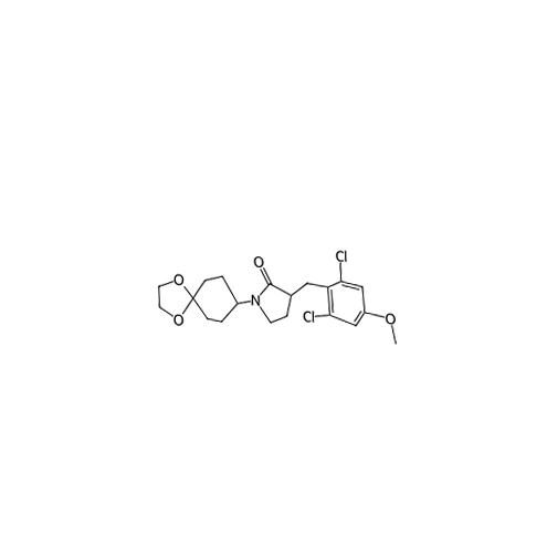 COc1cc(Cl)c(CC2CCN(C3CCC4(CC3)OCCO4)C2=O)c(Cl)c1